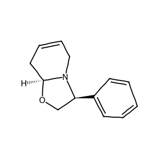 C1=CCN2[C@H](C1)OC[C@@H]2c1ccccc1